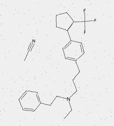 CC#N.CCN(CCCc1ccc(C2CCCC2C(F)(F)F)cc1)CCc1ccccc1